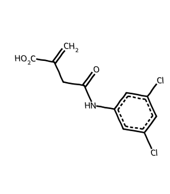 C=C(CC(=O)Nc1cc(Cl)cc(Cl)c1)C(=O)O